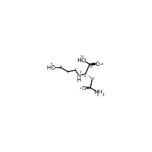 NC(=O)C[C@H](NCCCO)C(=O)O